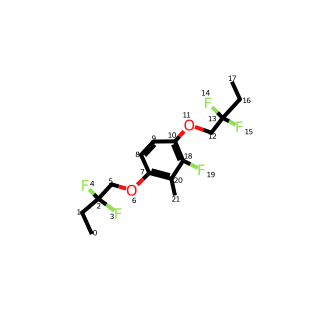 CCC(F)(F)COc1ccc(OCC(F)(F)CC)c(F)c1C